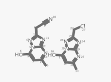 Cc1cc(O)n2nc(CC#N)nc2n1.Cc1cc(O)n2nc(CCl)nc2n1